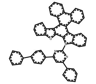 c1ccc(-c2ccc(-c3cc(-c4ccccc4)nc(-n4c5ccccc5c5c6c7ccccc7c7ccccc7c6c6c7ccccc7oc6c54)n3)cc2)cc1